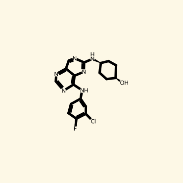 O[C@H]1CC[C@@H](Nc2ncc3ncnc(Nc4ccc(F)c(Cl)c4)c3n2)CC1